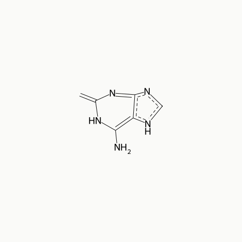 C=C1N=c2nc[nH]c2=C(N)N1